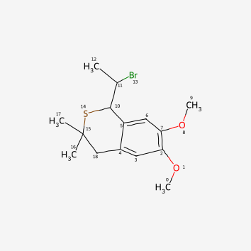 COc1cc2c(cc1OC)C(C(C)Br)SC(C)(C)C2